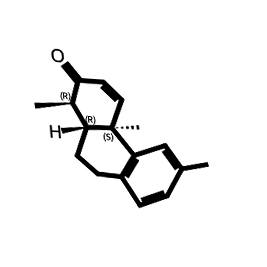 Cc1ccc2c(c1)[C@]1(C)C=CC(=O)[C@H](C)[C@H]1CC2